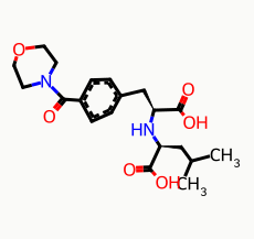 CC(C)C[C@H](N[C@@H](Cc1ccc(C(=O)N2CCOCC2)cc1)C(=O)O)C(=O)O